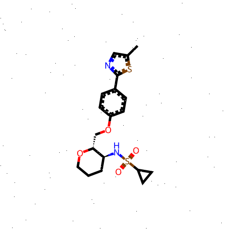 Cc1cnc(-c2ccc(OC[C@H]3OCCC[C@@H]3NS(=O)(=O)C3CC3)cc2)s1